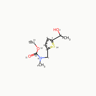 CC(O)c1ccc(CN(C)C(=O)OC(C)(C)C)s1